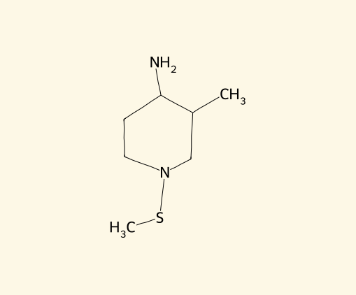 CSN1CCC(N)C(C)C1